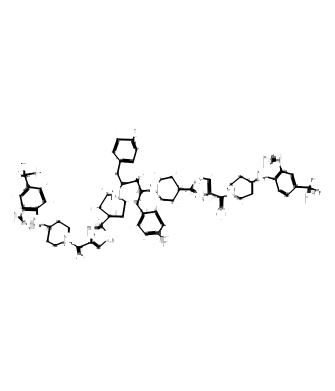 O=C(C(Cc1ccc(F)cc1)N1CCC(c2nc(C(=O)N3CCC(n4nnc5cc(C(F)(F)F)ccc54)CC3)cs2)CC1)C(Cc1ccc(F)cc1)N1CCC(c2nc(C(=O)N3CCC(n4nnc5cc(C(F)(F)F)ccc54)CC3)cs2)CC1